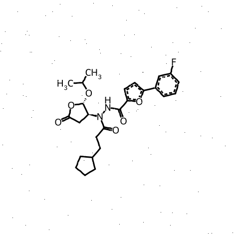 CC(C)O[C@H]1OC(=O)C[C@@H]1N(NC(=O)c1ccc(-c2cccc(F)c2)o1)C(=O)CCC1CCCC1